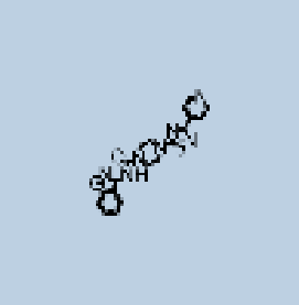 O=C(Nc1noc2ccccc12)N1CCN(c2nc(-c3ccncc3)ns2)CC1